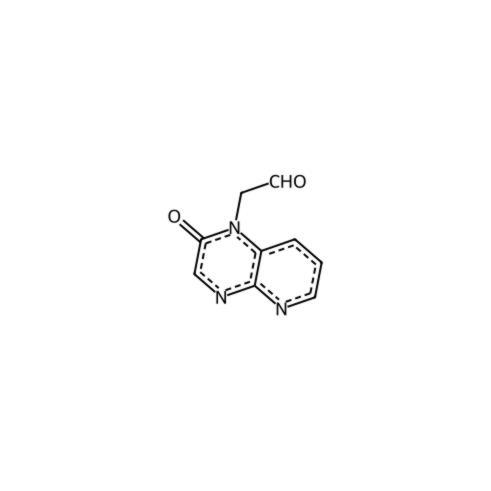 O=CCn1c(=O)cnc2ncccc21